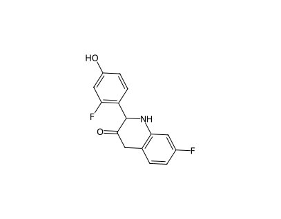 O=C1Cc2ccc(F)cc2NC1c1ccc(O)cc1F